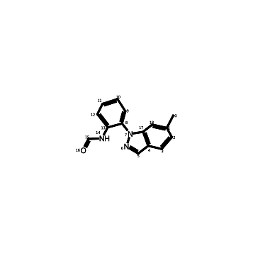 Cc1ccc2cnn(-c3ccccc3NC=O)c2c1